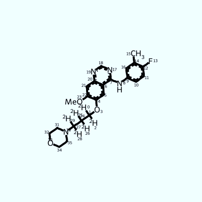 [2H]C([2H])(Oc1cc2c(Nc3ccc(F)c(C)c3)ncnc2cc1OC)C([2H])([2H])C([2H])([2H])N1CCOCC1